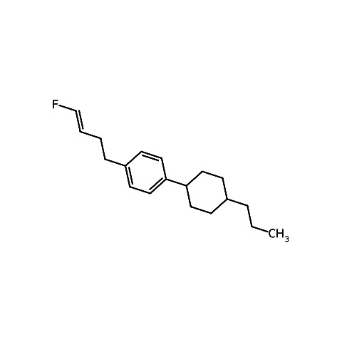 CCCC1CCC(c2ccc(CC/C=C/F)cc2)CC1